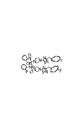 O=C(Nc1ccccc1C(F)(F)F)N1CCN(c2nc(Cc3ccc(F)cc3)ns2)CC1.O=C(Nc1ccccc1F)N1CCN(c2nc(Cc3ccc(F)cc3)ns2)CC1